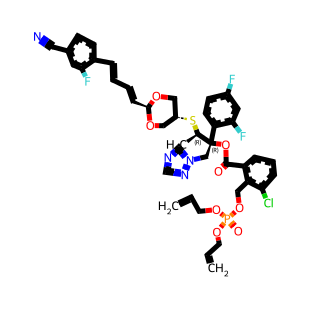 C=CCOP(=O)(OCC=C)OCc1c(Cl)cccc1C(=O)O[C@@](Cn1cncn1)(c1ccc(F)cc1F)[C@@H](C)S[C@H]1CO[C@H](C=CC=Cc2ccc(C#N)cc2F)OC1